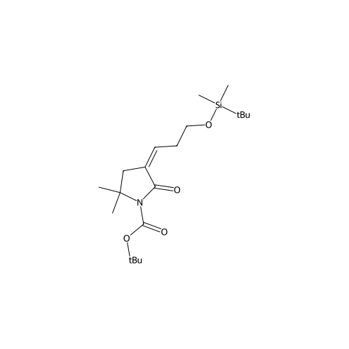 CC(C)(C)OC(=O)N1C(=O)/C(=C\CCO[Si](C)(C)C(C)(C)C)CC1(C)C